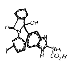 O=C(O)Nc1nc2cc(C3(O)c4ccccc4C(=O)N3c3cccc(I)c3)ccc2[nH]1